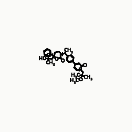 COC(C)(C)Cn1ccc(-c2ccc(C(C)N3CCC(CC(C)(C)O)(c4ccccc4)OC3=O)cc2)cc1=O